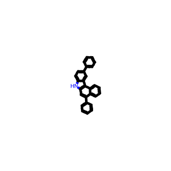 c1ccc(-c2ccc3[nH]c4cc(-c5ccccc5)c5ccccc5c4c3c2)cc1